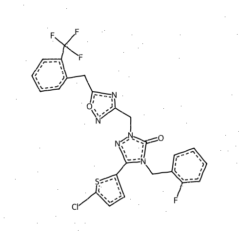 O=c1n(Cc2noc(Cc3ccccc3C(F)(F)F)n2)nc(-c2ccc(Cl)s2)n1Cc1ccccc1F